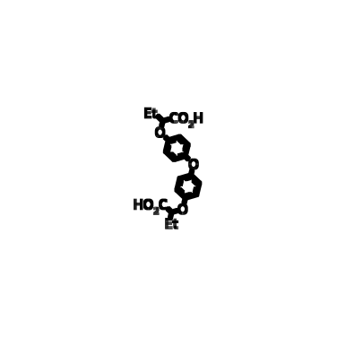 CCC(Oc1ccc(Oc2ccc(OC(CC)C(=O)O)cc2)cc1)C(=O)O